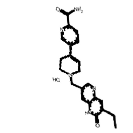 CCc1cc2ncc(CN3CC=C(c4ccc(C(N)=O)nc4)CC3)cc2[nH]c1=O.Cl